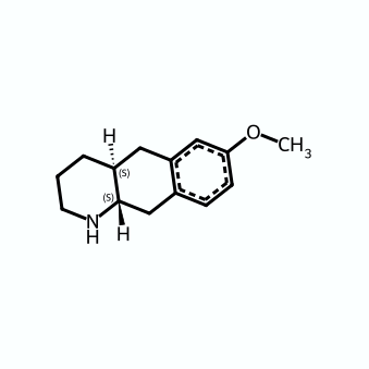 COc1ccc2c(c1)C[C@@H]1CCCN[C@H]1C2